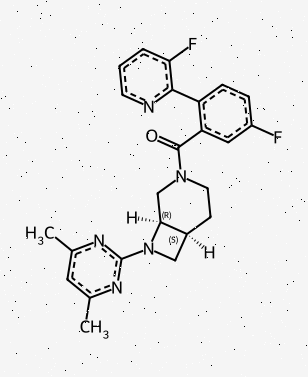 Cc1cc(C)nc(N2C[C@@H]3CCN(C(=O)c4cc(F)ccc4-c4ncccc4F)C[C@@H]32)n1